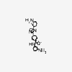 Nc1cccc(N[S+]([O-])c2ccc(-c3noc(-c4cccc(N)n4)n3)cc2)c1